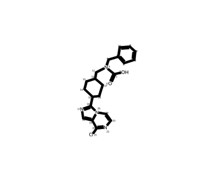 O=C(O)N(Cc1ccccc1)CC1CCC(c2ncc3c(Cl)nccn23)CC1